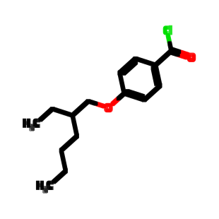 CCCCC(CC)COc1ccc(C(=O)Cl)cc1